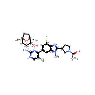 COC(=O)N1CC[C@H](c2nc3c(F)cc(-c4nc(N[C@@H]5C[C@H]6CC[C@H](O6)[C@H]5O)ncc4Cl)cc3n2C(C)C)C1